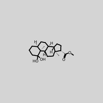 COC(=O)[C@H]1CC[C@H]2[C@@H]3CC[C@@H]4CCCC(O)(O)[C@]4(C)[C@H]3CC[C@]12C